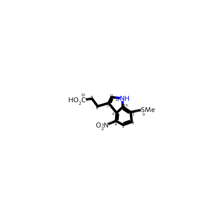 CSc1ccc([N+](=O)[O-])c2c(CCC(=O)O)c[nH]c12